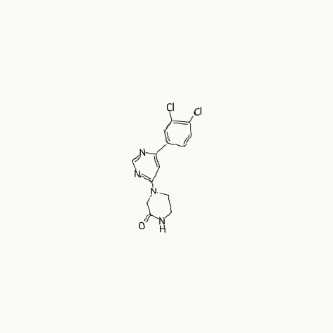 O=C1CN(c2cc(-c3ccc(Cl)c(Cl)c3)ncn2)CCN1